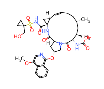 COc1cnc(O[C@@H]2C[C@H]3C(=O)N[C@]4(C(=O)NS(=O)(=O)C5(CO)CC5)C[C@H]4C=CCC[C@H](C)C[C@@H](C)[C@H](NC(=O)O)C(=O)N3C2)c2ccccc12